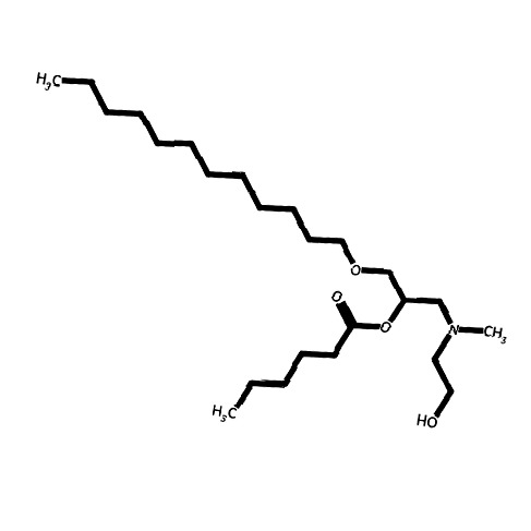 CCCCCCCCCCCCOCC(CN(C)CCO)OC(=O)CCCCC